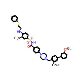 CCOc1cccc(-c2ccc(CN3CCN(c4ccc(C(=O)NS(=O)(=O)c5ccc(NCCSc6ccccc6)c([N+](=O)[O-])c5)cc4)CC3)c(OC)c2)c1